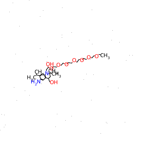 CCOCCOCCOCCOCCOCCOCCOC(O)CN1c2cc(C(C)C)c(N)cc2C(CO)CC1(C)C